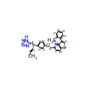 CC#C[C@@H](Cc1nnn[nH]1)c1ccc(OCc2ccc3scc(-c4ccccc4C)c3n2)cc1